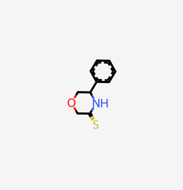 S=C1COCC(c2ccccc2)N1